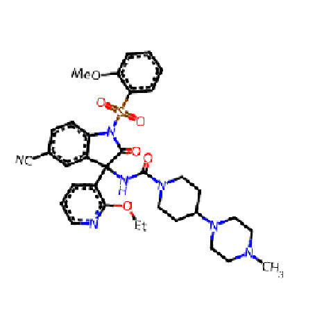 CCOc1ncccc1C1(NC(=O)N2CCC(N3CCN(C)CC3)CC2)C(=O)N(S(=O)(=O)c2ccccc2OC)c2ccc(C#N)cc21